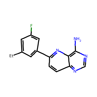 CCc1cc(F)cc(-c2ccc3ncnc(N)c3n2)c1